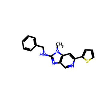 Cn1c(NCc2ccccc2)nc2cnc(-c3cccs3)cc21